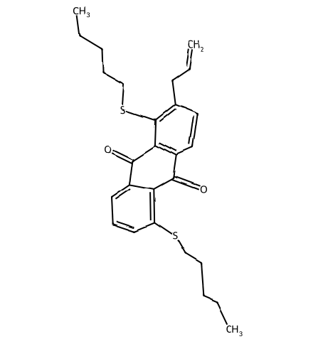 C=CCc1ccc2c(c1SCCCCC)C(=O)c1cccc(SCCCCC)c1C2=O